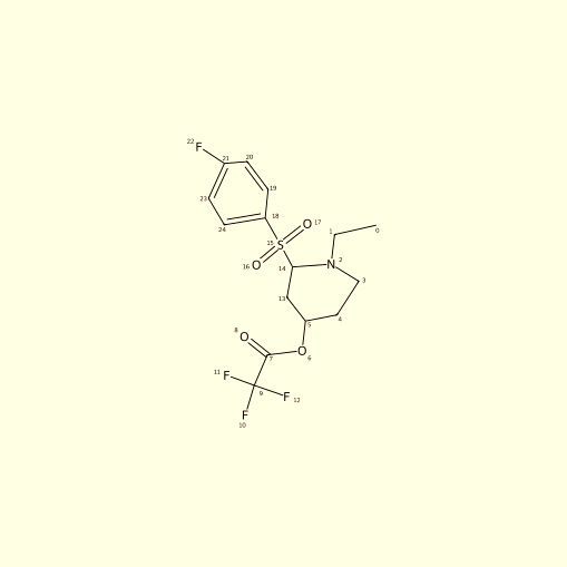 CCN1CCC(OC(=O)C(F)(F)F)CC1S(=O)(=O)c1ccc(F)cc1